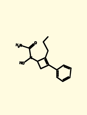 CCCC1=C(c2ccccc2)CC1N(O)C(N)=O